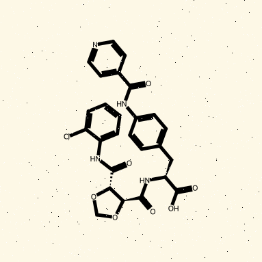 O=C(Nc1ccc(C[C@H](NC(=O)[C@H]2OCO[C@@H]2C(=O)Nc2ccccc2Cl)C(=O)O)cc1)c1ccncc1